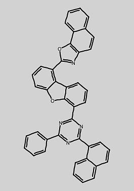 c1ccc(-c2nc(-c3cccc4ccccc34)nc(-c3cccc4c3oc3cccc(-c5nc6ccc7ccccc7c6o5)c34)n2)cc1